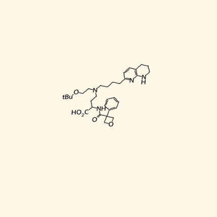 CC(C)(C)OCCN(CCCCc1ccc2c(n1)NCCC2)CCC(NC(=O)C1(c2ccccc2)COC1)C(=O)O